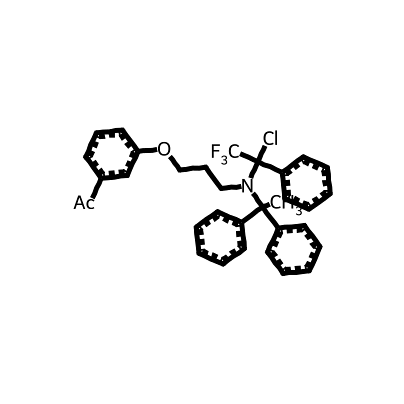 CC(=O)c1cccc(OCCCN(C(C)(c2ccccc2)c2ccccc2)C(Cl)(c2ccccc2)C(F)(F)F)c1